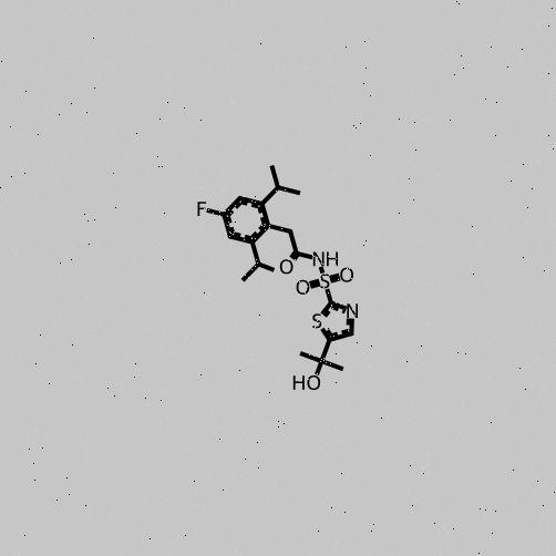 CC(C)c1cc(F)cc(C(C)C)c1CC(=O)NS(=O)(=O)c1ncc(C(C)(C)O)s1